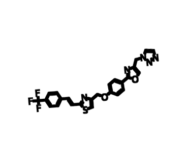 FC(F)(F)c1ccc(/C=C/c2nc(COc3ccc(-c4nc(Cn5ccnn5)co4)cc3)cs2)cc1